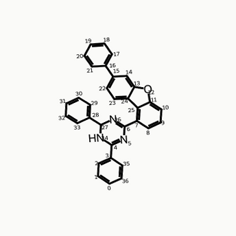 c1ccc(C2=NC(c3cccc4oc5cc(-c6ccccc6)ccc5c34)=NC(c3ccccc3)N2)cc1